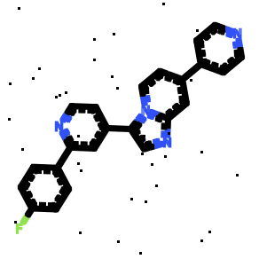 Fc1ccc(-c2cc(-c3cnc4cc(-c5ccncc5)ccn34)ccn2)cc1